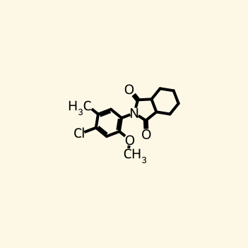 COc1cc(Cl)c(C)cc1N1C(=O)C2CCCCC2C1=O